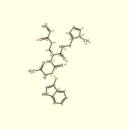 CC(=O)N[C@@H](Cc1c[nH]c2ccccc12)C(=O)N[C@@H](CCC(=O)C=N)C(=O)NCc1cccn1C